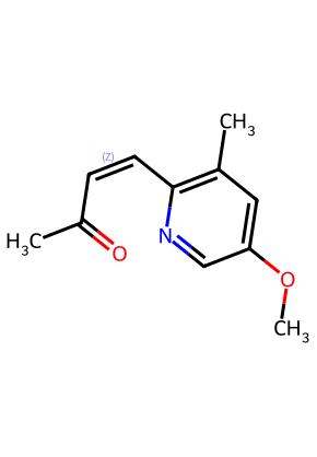 COc1cnc(/C=C\C(C)=O)c(C)c1